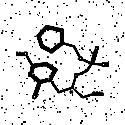 COC[C@H](Cn1ccc(OC)nc1=O)OCP(=O)(O)OCc1ccccc1